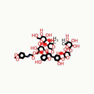 CC1O[C@@H](O[C@@H]2CO[C@@H](Oc3c(O)cc(-c4oc5cc(O)cc(O)c5c(=O)c4O[C@@H]4OC(C)[C@H](O)C(O)C4O[C@@H]4OC(COC(=O)/C=C/c5ccc6c(c5)OCO6)[C@@H](O)C(O)C4O[C@@H]4OC(CO)[C@@H](O)C(O)C4O)cc3O)C(O)C2O)C(O)C(O)[C@H]1O